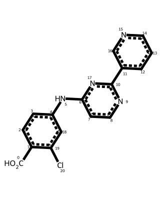 O=C(O)c1ccc(Nc2ccnc(-c3cccnc3)n2)cc1Cl